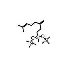 C=C(CCC=C(C)C)CC[Si](C)(O[Si](C)(C)C)O[Si](C)(C)C